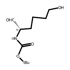 CC(C)(C)OC(=O)N[C@H](C=O)CCCCO